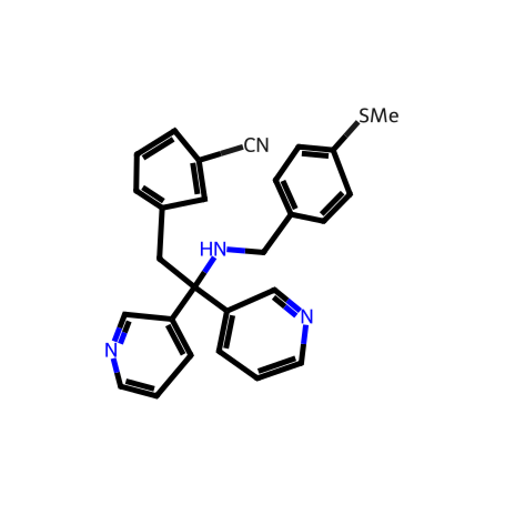 CSc1ccc(CNC(Cc2cccc(C#N)c2)(c2cccnc2)c2cccnc2)cc1